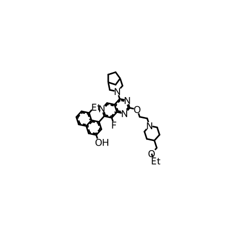 CCOCC1CCN(CCOc2nc(N3CC4CCC(C4)C3)c3cnc(-c4cc(O)cc5cccc(CC)c45)c(F)c3n2)CC1